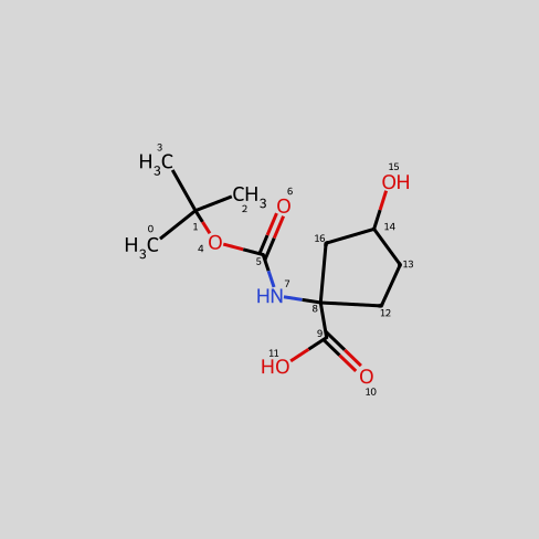 CC(C)(C)OC(=O)NC1(C(=O)O)CCC(O)C1